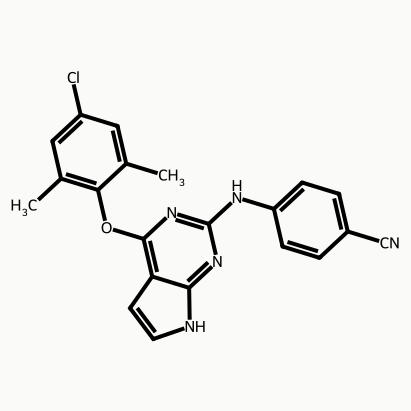 Cc1cc(Cl)cc(C)c1Oc1nc(Nc2ccc(C#N)cc2)nc2[nH]ccc12